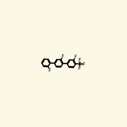 Fc1ccccc1-c1ccc(-c2ccc(C(F)(F)F)c(F)c2)c(F)c1